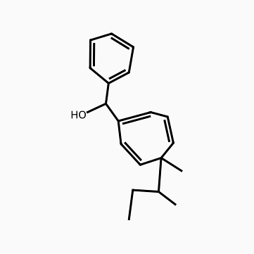 CCC(C)C1(C)C=CC=C(C(O)c2ccccc2)C=C1